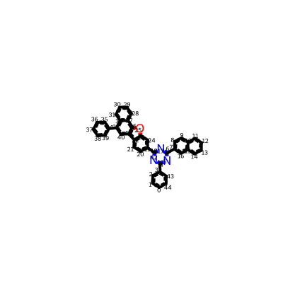 c1ccc(-c2nc(-c3ccc4ccccc4c3)nc(-c3ccc4c(c3)oc3c5ccccc5c(-c5ccccc5)cc43)n2)cc1